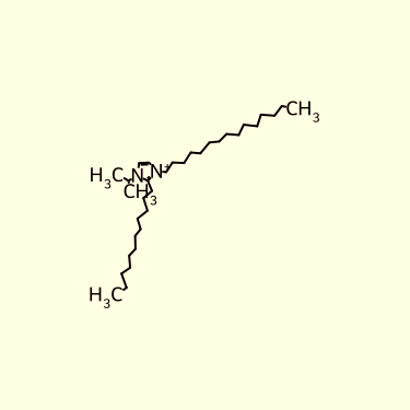 CCCCCCCCCCCCCCC[n+]1ccn(C(C)C)c1CCCCCCCCCCCC